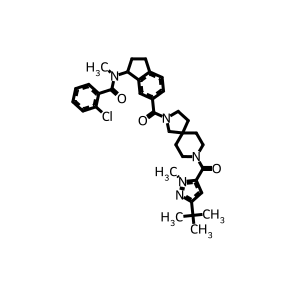 CN(C(=O)c1ccccc1Cl)C1CCc2ccc(C(=O)N3CCC4(CCN(C(=O)c5cc(C(C)(C)C)nn5C)CC4)C3)cc21